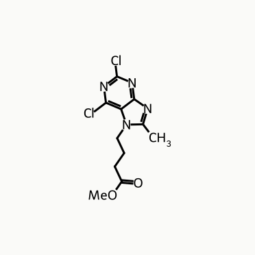 COC(=O)CCCn1c(C)nc2nc(Cl)nc(Cl)c21